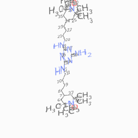 CON1C(C)(C)CC(CCCCNc2nc(N)nc(NCCCCC3CC(C)(C)N(OC)C(C)(C)C3)n2)CC1(C)C